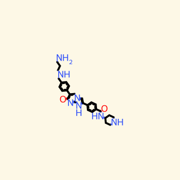 NCCCNCc1ccc(-c2cn3cc(-c4ccc(C(=O)NC5CCNCC5)cc4)[nH]c3nc2=O)cc1